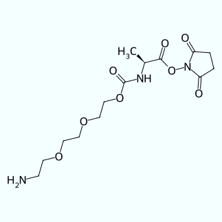 C[C@H](NC(=O)OCCOCCOCCN)C(=O)ON1C(=O)CCC1=O